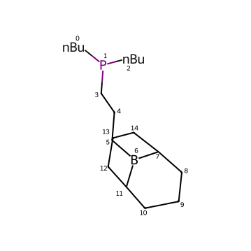 CCCCP(CCCC)CCCB1C2CCCC1CCC2